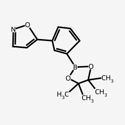 CC1(C)OB(c2cccc(-c3ccno3)c2)OC1(C)C